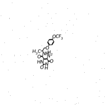 CC(COc1ccc(OC(F)(F)F)cc1)NC(=O)c1[nH]c(=O)[nH]c(=O)c1N